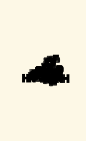 O=C1CNc2ccc(CNC[C@]3(CCc4cc5ccc(F)cc5[nH]c4=O)CNCC[C@H]3O)nc2O1